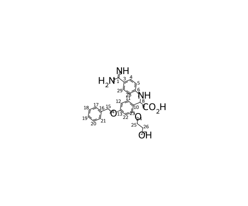 N=C(N)c1ccc(NC(C(=O)O)c2ccc(OCc3ccccc3)cc2OCCO)cc1